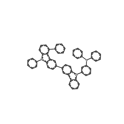 c1ccc(-c2cccc3c2c2cc(-c4ccc5c(c4)c4ccccc4n5-c4cccc(N(c5ccccc5)c5ccccc5)c4)ccc2n3-c2ccccc2)cc1